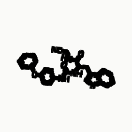 N#CCNC(=O)C(Cc1csc2ccccc12)NC(=O)Nc1ccc(Oc2ccccc2)cc1